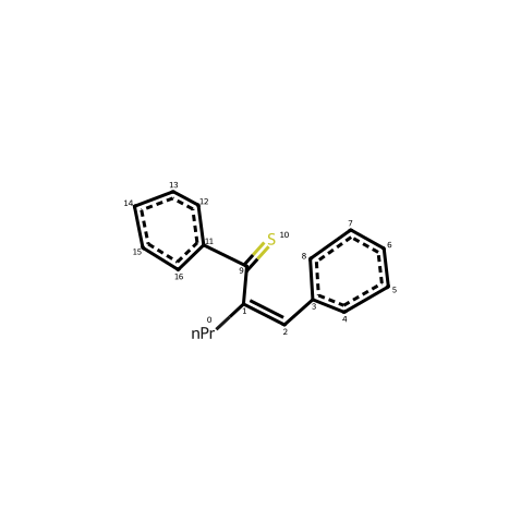 CCCC(=Cc1ccccc1)C(=S)c1ccccc1